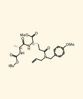 C=CCN(Cc1ccc(OC)cc1)C(=O)CC[C@H](NC(=O)[C@@H](C)NC(=O)OC(C)(C)C)C(=O)OC